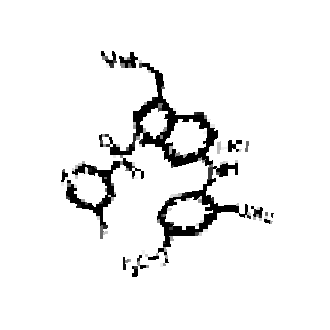 CNCc1cn(S(=O)(=O)c2cncc(F)c2)c2cc(Nc3ccc(OC(F)(F)F)cc3OC)ccc12.Cl